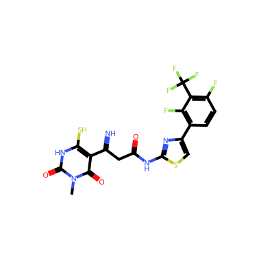 Cn1c(=O)[nH]c(S)c(C(=N)CC(=O)Nc2nc(-c3ccc(F)c(C(F)(F)F)c3F)cs2)c1=O